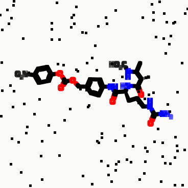 CC(NC(=O)O)[C@H](C)C(=O)N[C@@H](CCCNC(N)=O)C(=O)Nc1ccc(COC(=O)Oc2ccc([N+](=O)[O-])cc2)cc1